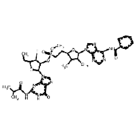 CCC1OC(n2cnc3c(=O)[nH]c(NC(=O)C(C)C)nc32)C(OP(=O)(CCC2OC(n3cnc4c(NC(=O)c5ccccc5)ncnc43)C(C)C2C)OC)C1F